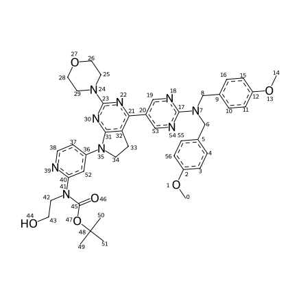 COc1ccc(CN(Cc2ccc(OC)cc2)c2ncc(-c3nc(N4CCOCC4)nc4c3CCN4c3ccnc(N(CCO)C(=O)OC(C)(C)C)c3)cn2)cc1